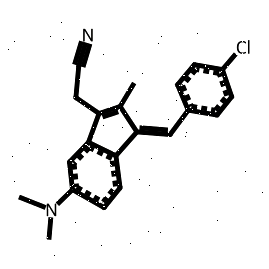 CC1=C(CC#N)c2cc(N(C)C)ccc2C1=Cc1ccc(Cl)cc1